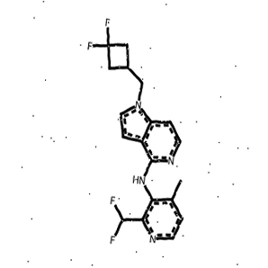 Cc1ccnc(C(F)F)c1Nc1nccc2c1ccn2CC1CC(F)(F)C1